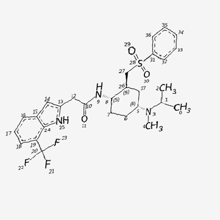 CC(C)N(C)[C@@H]1CC[C@H](NC(=O)Cc2cc3cccc(C(F)(F)F)c3[nH]2)[C@@H](CS(=O)(=O)c2ccccc2)C1